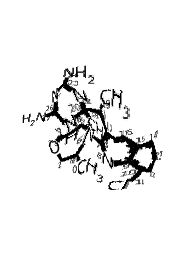 C[C@H]1COCCN1c1nc2c(Cl)cccc2cc1[C@H](C)C1(C)N=C(N)N=C(N)N1